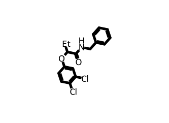 CCC(Oc1ccc(Cl)c(Cl)c1)C(=O)NCc1ccccc1